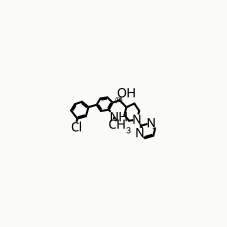 CNc1cc(-c2cccc(Cl)c2)ccc1[C@H](O)C1CCN(c2ncccn2)CC1